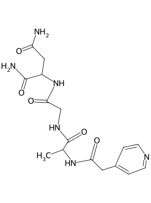 CC(NC(=O)Cc1ccncc1)C(=O)NCC(=O)NC(CC(N)=O)C(N)=O